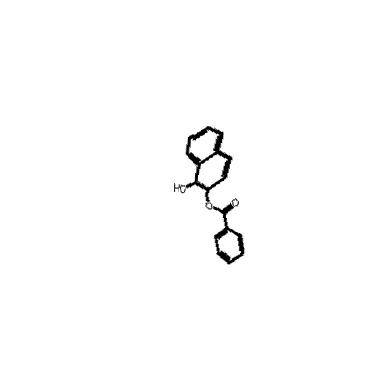 O=C(OC1C=Cc2ccccc2C1O)c1ccccc1